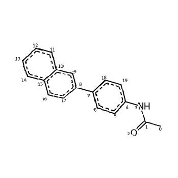 CC(=O)Nc1ccc(-c2[c]c3ccccc3cc2)cc1